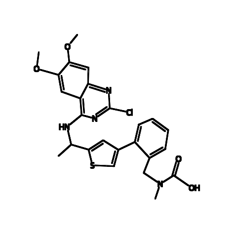 COc1cc2nc(Cl)nc(NC(C)c3cc(-c4ccccc4CN(C)C(=O)O)cs3)c2cc1OC